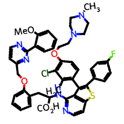 COc1ccccc1-c1nccc(COc2ccccc2CC(Nc2nccc3sc(-c4ccc(F)cc4)c(-c4ccc(OCCN5CCN(C)CC5)c(Cl)c4C)c23)C(=O)O)n1